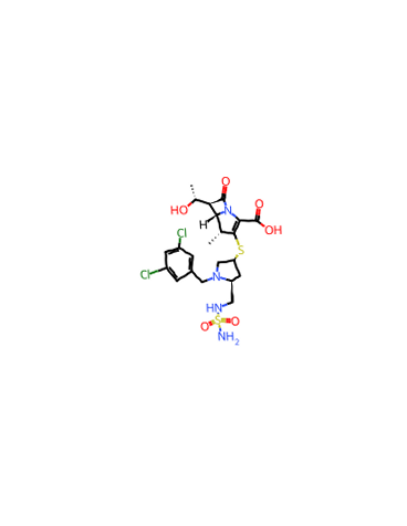 C[C@@H](O)[C@H]1C(=O)N2C(C(=O)O)=C(S[C@H]3C[C@@H](CNS(N)(=O)=O)N(Cc4cc(Cl)cc(Cl)c4)C3)[C@H](C)[C@H]12